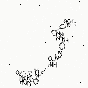 CS(=O)(=O)c1ccc(-c2cccc3nc(Nc4ccc(N5CCN(CC(=O)NCCCCCCNc6cccc7c6C(=O)N(C6CCC(=O)NC6=O)C7=O)CC5)cc4)nn23)cc1